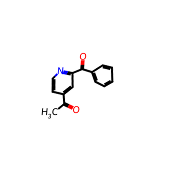 CC(=O)c1ccnc(C(=O)c2ccccc2)c1